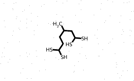 [CH2]C(CCC(S)S)CC(S)S